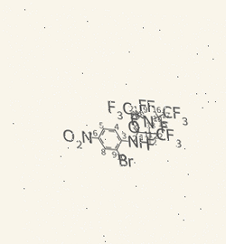 O=C(Nc1ccc([N+](=O)[O-])cc1Br)C(F)(N(C(F)(F)C(F)(F)F)C(F)(F)C(F)(F)F)C(F)(F)F